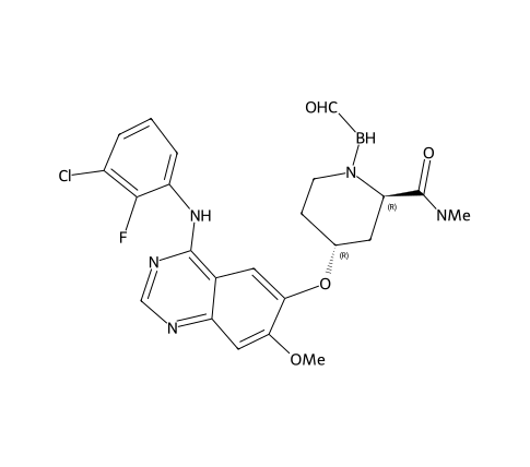 CNC(=O)[C@H]1C[C@H](Oc2cc3c(Nc4cccc(Cl)c4F)ncnc3cc2OC)CCN1BC=O